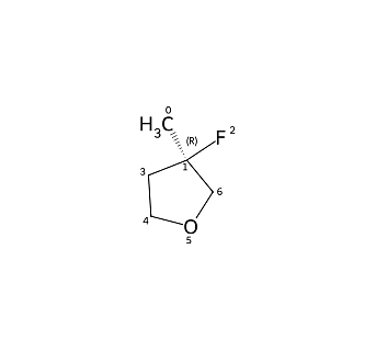 C[C@@]1(F)CCOC1